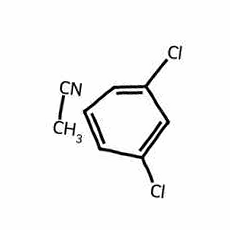 CC#N.Clc1cccc(Cl)c1